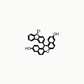 CCn1c2ccccc2c2cc(C3c4c(ccc5cc(O)ccc45)Oc4ccc5cc(O)ccc5c43)ccc21